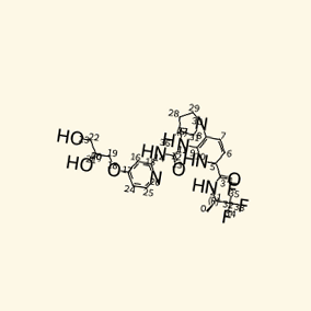 C[C@@H](NC(=O)C1C=CC2=C(N1)N(C(=O)Nc1cc(OC[C@H](O)CO)ccn1)[C@H]1CCN2C1)C(F)(F)F